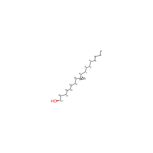 CCCCCCCCCCCCCCCCCCO.[Zn]